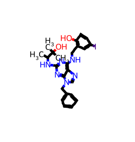 CC(Nc1nc(NCc2cc(I)ccc2O)c2ncn(Cc3ccccc3)c2n1)C(C)(C)O